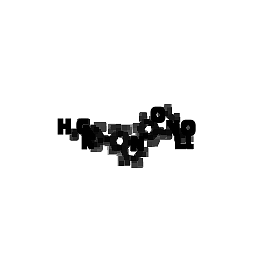 CCC(=O)N1CCOc2ccc(N3CCCc4cc(-c5cnn(C)c5)ccc43)cc2C1